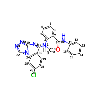 CN(c1ccccc1C(=O)Nc1ccccc1)c1nc2nncn2c2cc(Cl)ccc12